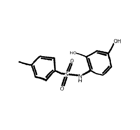 Cc1ccc(S(=O)(=O)Nc2ccc(O)cc2O)cc1